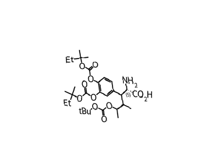 CCC(C)(C)OC(=O)Oc1ccc(C(C(C)C(C)OC(=O)OC(C)(C)C)[C@H](N)C(=O)O)cc1OC(=O)OC(C)(C)CC